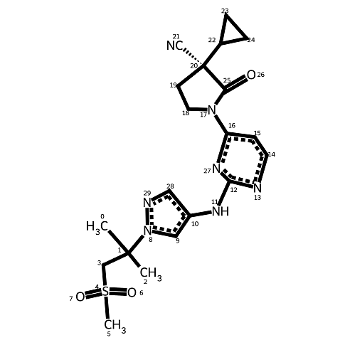 CC(C)(CS(C)(=O)=O)n1cc(Nc2nccc(N3CC[C@@](C#N)(C4CC4)C3=O)n2)cn1